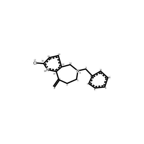 C=C1CCN(Cc2ccccc2)Cc2ccc(Cl)nc21